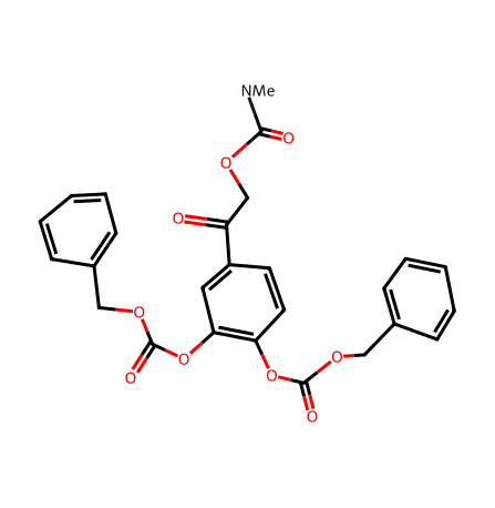 CNC(=O)OCC(=O)c1ccc(OC(=O)OCc2ccccc2)c(OC(=O)OCc2ccccc2)c1